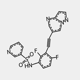 O=S(=O)(Nc1ccc(F)c(C#Cc2cnc3ccnn3c2)c1F)c1cccnc1